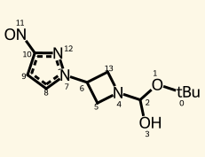 CC(C)(C)OC(O)N1CC(n2ccc(N=O)n2)C1